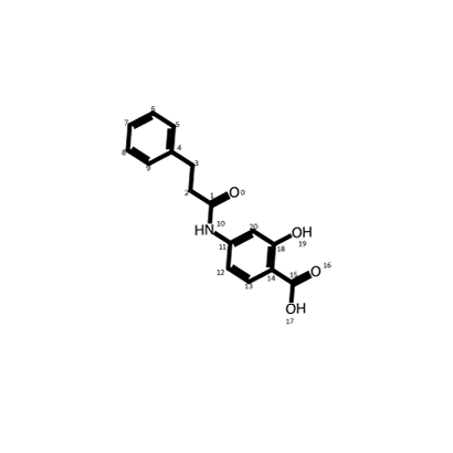 O=C(CCc1ccccc1)Nc1ccc(C(=O)O)c(O)c1